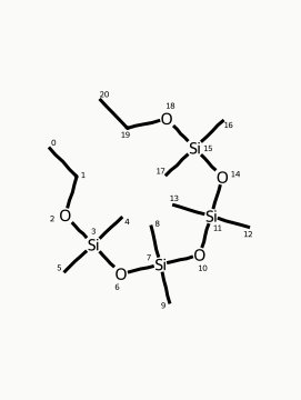 CCO[Si](C)(C)O[Si](C)(C)O[Si](C)(C)O[Si](C)(C)OCC